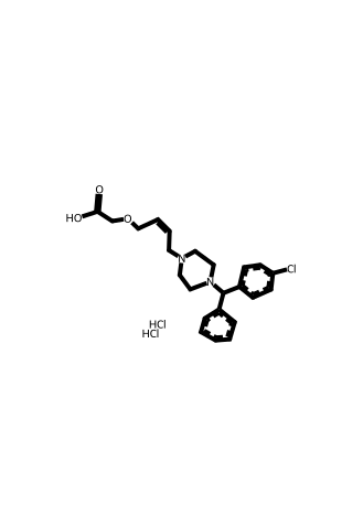 Cl.Cl.O=C(O)COC/C=C\CN1CCN(C(c2ccccc2)c2ccc(Cl)cc2)CC1